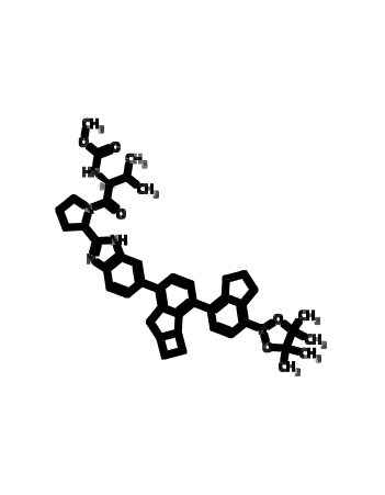 COC(=O)N[C@H](C(=O)N1CCCC1c1nc2ccc(-c3ccc(-c4ccc(B5OC(C)(C)C(C)(C)O5)c5c4CCC5)c4c3CC3CCC43)cc2[nH]1)C(C)C